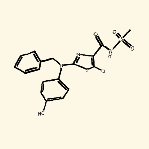 CS(=O)(=O)NC(=O)c1nc(N(Cc2ccccc2)c2ccc(C#N)cc2)sc1Cl